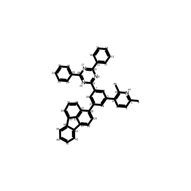 Cc1ccc(-c2cc(-c3nc(-c4ccccc4)nc(-c4ccccc4)n3)cc(-c3ccc4c5c(cccc35)-c3ccccc3-4)c2)c(C)n1